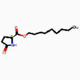 CCC(C)CCCCCCCCOC(=O)[C@@H]1CCC(=O)N1